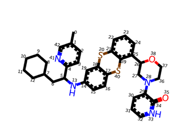 Cc1ccc(C(CC2CCCCC2)Nc2ccc3c(c2)Sc2cccc(C4CN(c5ccc[nH]c5=O)CCO4)c2S3)nc1